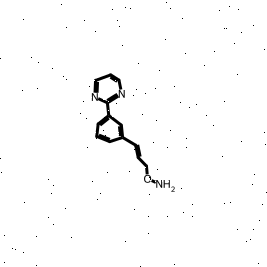 NOCC=Cc1cccc(-c2ncccn2)c1